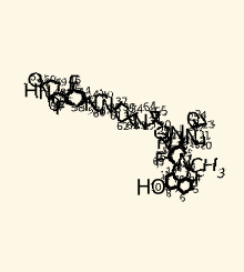 CCc1c(F)ccc2cc(O)cc(-c3ncc4c(N5CCC[C@]6(CCO6)C5)nc(OCC5(CN6CC7(CCC(N8CCN(c9cc(F)c(C%10CCC(=O)NC%10=O)c(F)c9)CC8)CC7)C6)CC5)nc4c3F)c12